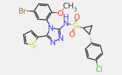 COc1ccc(Br)cc1-n1c(NS(=O)(=O)[C@H]2C[C@@H]2c2ccc(Cl)cc2)nnc1-c1cccs1